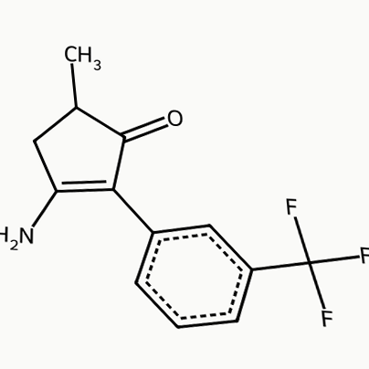 CC1CC(N)=C(c2cccc(C(F)(F)F)c2)C1=O